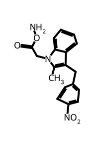 Cc1c(Cc2ccc([N+](=O)[O-])cc2)c2ccccc2n1CC(=O)ON